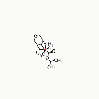 CC(C)OC(=O)N1CC2COCC(C1)C2C(C)C